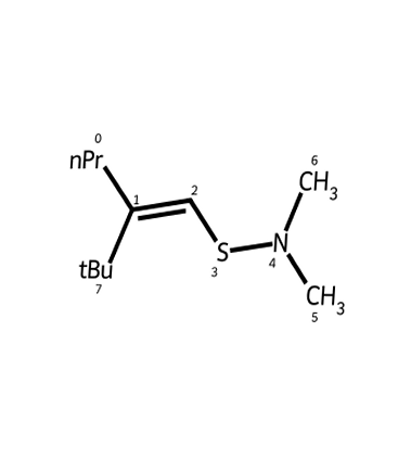 CCC/C(=C/SN(C)C)C(C)(C)C